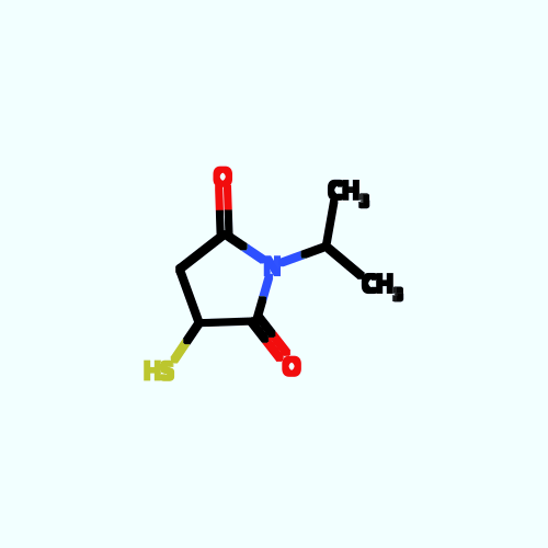 CC(C)N1C(=O)CC(S)C1=O